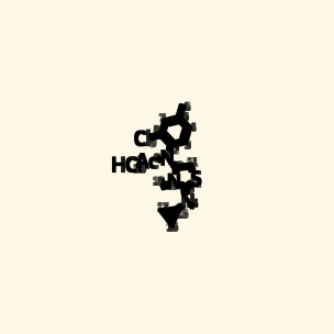 CC(=O)N(c1ccc(C)cc1Cl)C1CSC(=NC2CC2)N1C.Cl